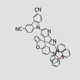 N#Cc1ccc2c(c1)c1cc(C#N)ccc1n2-c1cnc2c(c1)C1(c3ccccc3Oc3ccc(N4c5ccccc5Sc5ccccc54)cc31)c1cc(-n3c4ccccc4c4ccccc43)cnc1-2